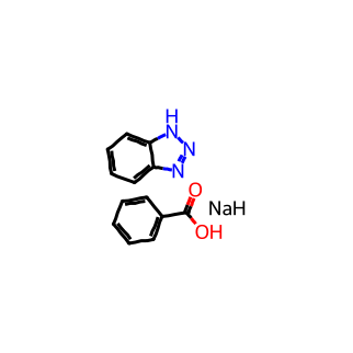 O=C(O)c1ccccc1.[NaH].c1ccc2[nH]nnc2c1